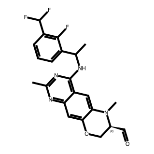 Cc1nc(NC(C)c2cccc(C(F)F)c2F)c2cc3c(cc2n1)OC[C@H](C=O)N3C